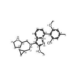 COc1cc(C)cc(Cl)c1-c1cccc2c(N(CC3CC3)CC3CCCO3)c(OC)nn12